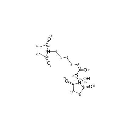 O=C(CCCCCN1C(=O)C=CC1=O)O[N+]1(O)C(=O)CCC1=O